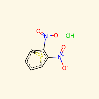 Cl.O=[N+]([O-])c1c([N+](=O)[O-])c2ccc1s2